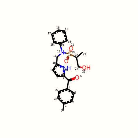 Cc1ccc(C(=O)c2ccc(CN(c3ccccc3)S(=O)(=O)C(C)CO)[nH]2)cc1